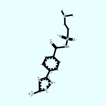 CN(C)CCS(=O)(=O)NC(=O)c1ccc(-c2noc(C(F)(F)F)n2)cc1